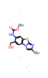 CC(C)(C)OC(=O)Nc1cc2sc3nc(C(C)(C)C)cn3c2cc1CO